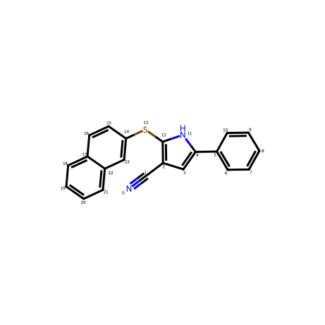 N#Cc1cc(-c2ccccc2)[nH]c1Sc1ccc2ccccc2c1